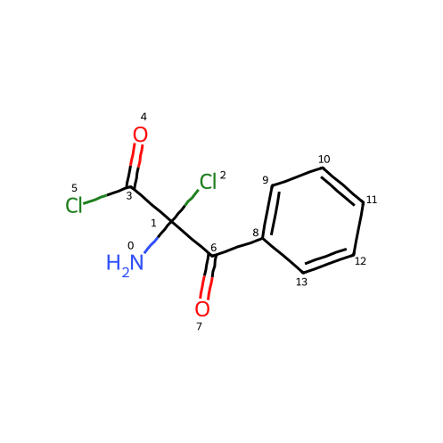 NC(Cl)(C(=O)Cl)C(=O)c1ccccc1